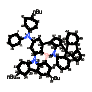 CCCCc1ccc(N(c2ccccc2)c2cc3c4c(c2)-n2c5ccc(CCCC)cc5c5cc(CCCC)cc(c52)B4N2c4ccccc4C4(c5ccccc5-c5ccccc54)c4cccc-3c42)cc1